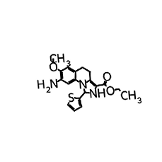 CCOC(=O)C1=C2CCc3cc(OC)c(N)cc3N2C(c2cccs2)N1